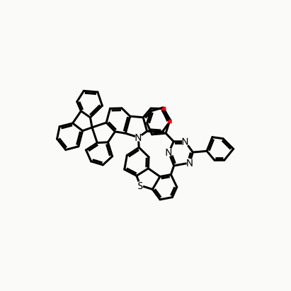 c1ccc(-c2nc(-c3ccccc3)nc(-c3cccc4sc5ccc(-n6c7ccccc7c7ccc8c(c76)-c6ccccc6C86c7ccccc7-c7ccccc76)cc5c34)n2)cc1